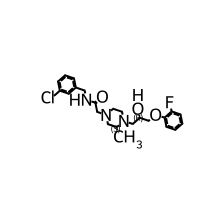 C[C@H]1CN(CC(=O)NCc2cccc(Cl)c2)CCN1C[C@@H](O)COc1ccccc1F